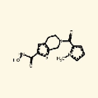 Cn1cccc1C(=O)N1CCc2cc(C(=O)NO)sc2C1